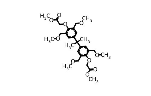 COCc1cc(C(C)(C)c2cc(COC)c(OCC(=O)OC)c(COC)c2)cc(COC)c1OCC(=O)OC